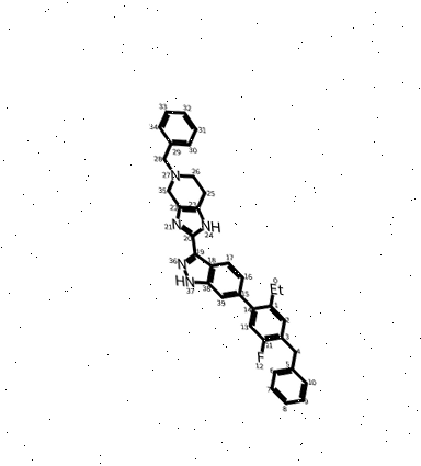 CCc1cc(Cc2ccccc2)c(F)cc1-c1ccc2c(-c3nc4c([nH]3)CCN(Cc3ccccc3)C4)n[nH]c2c1